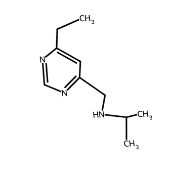 CCc1cc(CNC(C)C)ncn1